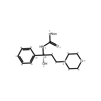 CCCCCCCCCC(=O)N[C@@](O)(CCN1CCOCC1)c1ccccc1